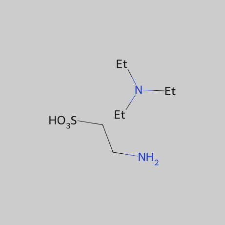 CCN(CC)CC.NCCS(=O)(=O)O